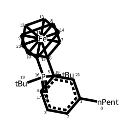 CCCCCc1cccc([C]23[CH]4[CH]5[CH]6[CH]2[Fe]56432789[CH]3[CH]2[CH]7[C]8(P(=O)(C(C)(C)C)C(C)(C)C)[CH]39)c1